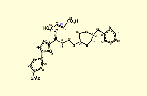 CSc1ccc(-c2nnc(C(=O)NCCC3CCN(Cc4ccccc4)CC3)o2)cc1.O=C(O)/C=C/C(=O)O